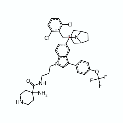 NC1(C(=O)NCCCn2cc(-c3ccc(OC(F)(F)F)cc3)c3cc(CN4C5CCC4CN(Cc4c(Cl)cccc4Cl)C5)ccc32)CCNCC1